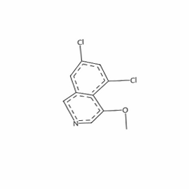 COc1cncc2cc(Cl)cc(Cl)c12